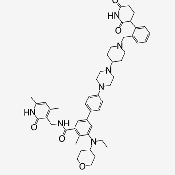 CCN(c1cc(-c2ccc(N3CCN(C4CCN(Cc5ccccc5C5CCC(=O)NC5=O)CC4)CC3)cc2)cc(C(=O)NCc2c(C)cc(C)[nH]c2=O)c1C)C1CCOCC1